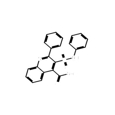 NC(=O)c1c(S(=O)(=O)Nc2ccccc2)c(-c2ccccc2)nc2ccccc12